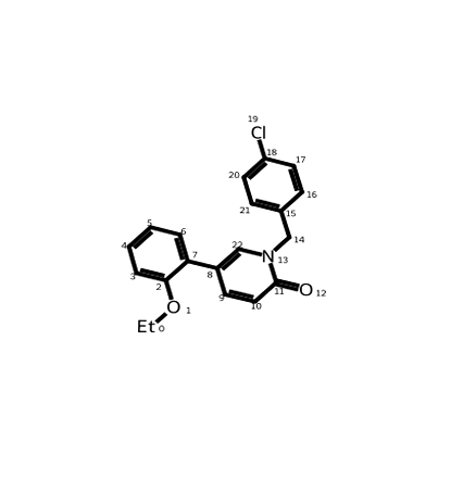 CCOc1ccccc1-c1ccc(=O)n(Cc2ccc(Cl)cc2)c1